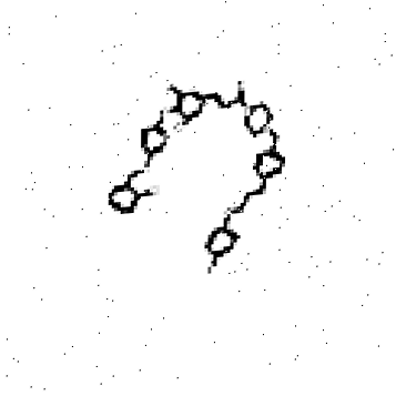 Cc1cc(C=CC(=O)N2CCN(Cc3ccc(CCCOc4ccc(F)cc4)cc3)CC2)cc(Cl)c1Oc1ccc(OCc2ccccc2Cl)cn1